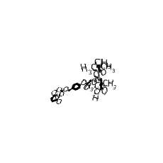 CC(C)(C)C(=O)ON(CC(C)(C)C(=O)O)OCC(=O)Oc1ccc(COC(=O)ON2C(=O)CCC2=O)cc1